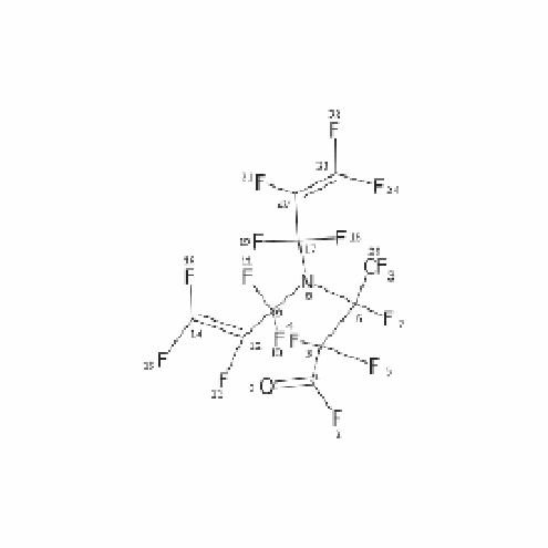 O=C(F)C(F)(F)C(F)(N(C(F)(F)C(F)=C(F)F)C(F)(F)C(F)=C(F)F)C(F)(F)F